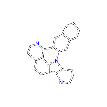 c1ccc2cc3c(cc2c1)c1nccc2ccc4c5ncccc5n3c4c21